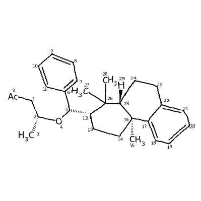 CC(=O)C[C@@H](C)OC(c1ccccc1)[C@H]1CC[C@]2(C)c3ccccc3CC[C@H]2C1(C)C